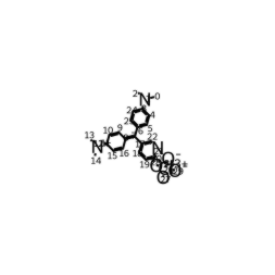 CN(C)c1ccc(C(=C2C=CC(=[N+](C)C)C=C2)c2cccnc2)cc1.[O-][Cl+3]([O-])([O-])[O-]